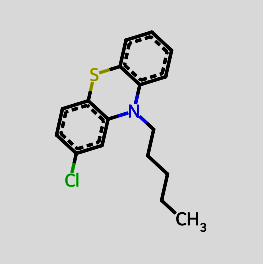 CCCCCN1c2ccccc2Sc2ccc(Cl)cc21